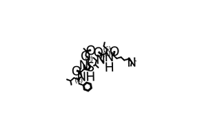 CC[C@H](C)[C@H](NC(=O)CCCCN(C)C)C(=O)N(C)C(C[C@@H](OC(C)=O)c1nc(C(=O)N[C@@H](Cc2ccccc2)CC(C)C)cs1)C(C)C